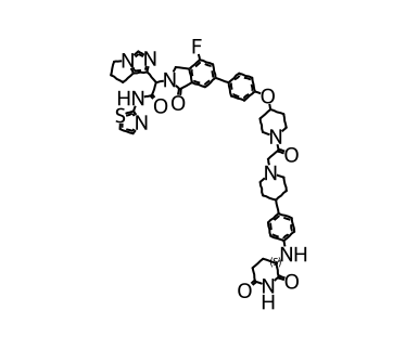 O=C1CC[C@H](Nc2ccc(C3CCN(CC(=O)N4CCC(Oc5ccc(-c6cc(F)c7c(c6)C(=O)N(C(C(=O)Nc6nccs6)c6ncn8c6CCC8)C7)cc5)CC4)CC3)cc2)C(=O)N1